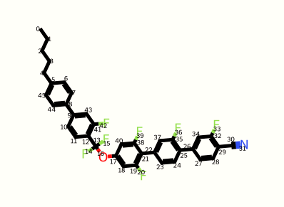 CCCCCc1ccc(-c2ccc(C(F)(F)Oc3cc(F)c(-c4ccc(-c5ccc(C#N)c(F)c5)c(F)c4)c(F)c3)c(F)c2)cc1